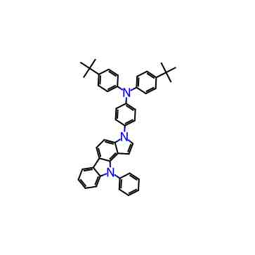 CC(C)(C)c1ccc(N(c2ccc(-n3ccc4c3ccc3c5ccccc5n(-c5ccccc5)c34)cc2)c2ccc(C(C)(C)C)cc2)cc1